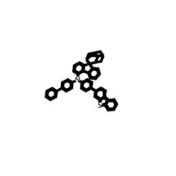 c1ccc(-c2ccc(N(c3ccc(-c4ccc5c(c4)sc4ccccc45)cc3)c3cccc4c3-c3ccccc3C43C4CC5CC(C4)CC3C5)cc2)cc1